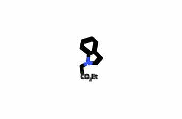 CCOC(=O)Cn1ccc2c[c]ccc21